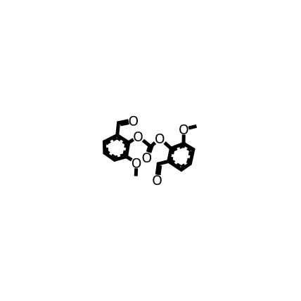 COc1cccc(C=O)c1OC(=O)Oc1c(C=O)cccc1OC